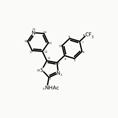 CC(=O)Nc1nc(-c2ccc(C(F)(F)F)cc2)c(-c2ccncc2)s1